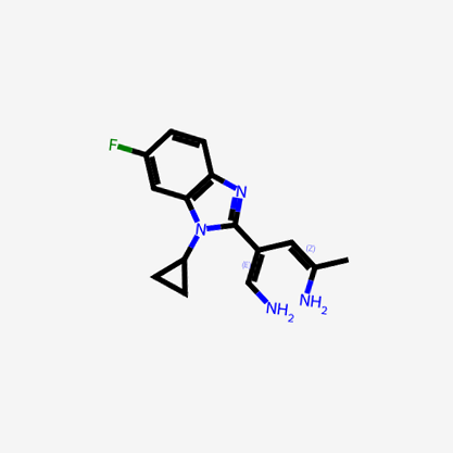 C/C(N)=C/C(=C\N)c1nc2ccc(F)cc2n1C1CC1